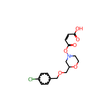 O=C(O)/C=C\C(=O)ON1CCOC(COCc2ccc(Cl)cc2)C1